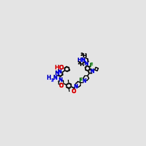 [2H]C1C=CN(c2ccc3c(C4CCN(CC5(F)CCN(C(=O)c6cc(C)c(C7CN(c8cc(-c9ccccc9O)nnc8N)CCO7)cc6C)CC5)CC4)cn(C4CCC4)c3c2F)C([2H])N1